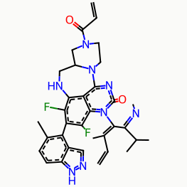 C=CC(=O)N1CCN2c3nc(=O)n(C(/C(=N\C)C(C)C)=C(\C)C=C)c4c(F)c(-c5c(C)ccc6[nH]ncc56)c(F)c(c34)NCC2C1